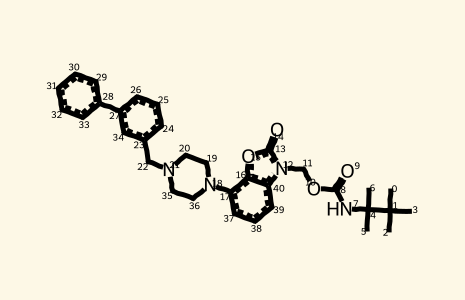 CC(C)(C)C(C)(C)NC(=O)OCn1c(=O)oc2c(N3CCN(Cc4cccc(-c5ccccc5)c4)CC3)cccc21